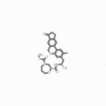 CCCCOC(=O)N1CCCO[C@H](C(=O)N[C@H](C#N)Cc2cc3c(cc2F)-c2cc4c(cc2CO3)C(=O)CC4)C1